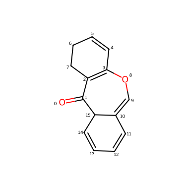 O=C1C2=C(C=CCC2)OC=C2C=CC=CC12